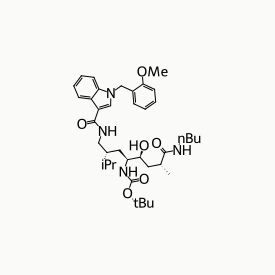 CCCCNC(=O)[C@H](C)C[C@H](O)[C@H](C[C@@H](CNC(=O)c1cn(Cc2ccccc2OC)c2ccccc12)C(C)C)NC(=O)OC(C)(C)C